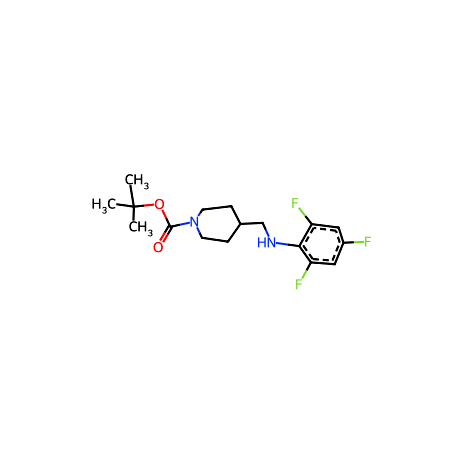 CC(C)(C)OC(=O)N1CCC(CNc2c(F)cc(F)cc2F)CC1